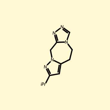 CC(C)c1cc2n(n1)Cc1nncn1CC2